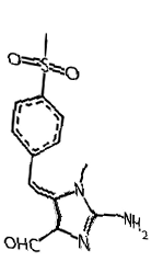 CN1C(N)=NC(C=O)/C1=C/c1ccc(S(C)(=O)=O)cc1